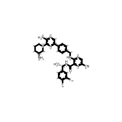 C[C@H](NC(=O)c1nc(C#N)cnc1NCc1ccc(-c2cnc(N)c(N3CCC[C@H](N)C3)n2)cc1)c1ccc(F)c(F)c1